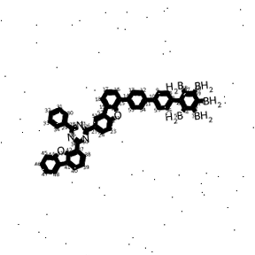 Bc1c(B)c(B)c(-c2ccc(-c3ccc(-c4cccc5c4oc4ccc(-c6nc(-c7ccccc7)nc(-c7cccc8c7oc7ccccc78)n6)cc45)cc3)cc2)c(B)c1B